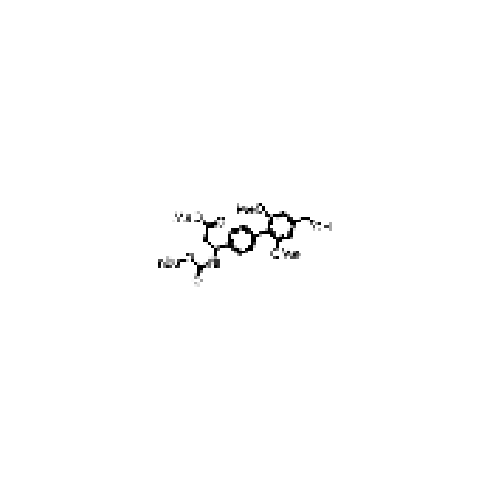 CCCCOC(=O)NC(CC(=O)OC)c1ccc(-c2c(OC)cc(CO)cc2OC)cc1